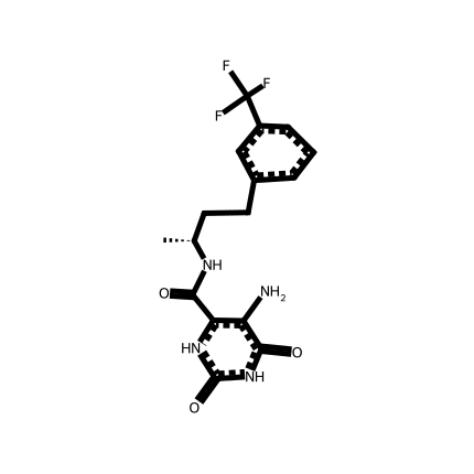 C[C@H](CCc1cccc(C(F)(F)F)c1)NC(=O)c1[nH]c(=O)[nH]c(=O)c1N